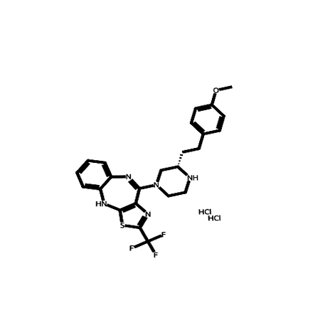 COc1ccc(CC[C@H]2CN(C3=Nc4ccccc4Nc4sc(C(F)(F)F)nc43)CCN2)cc1.Cl.Cl